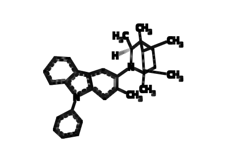 Cc1cc2c(cc1N1[C@@H](C)C3(C)CCC1(C)C(C)C3C)c1ccccc1n2-c1ccccc1